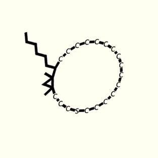 CCCCCCC1CCCCCCCCCCCCCCCSCCCC2(C)CC12C